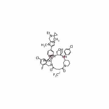 CCN(Cc1ncc(-c2ccc(Oc3cc(Cl)cc(F)c3CN3C(=O)C[C@@H](CC(F)(F)F)C(=O)N4CCC[C@@](Cc5ccc(Cl)cc5)(C4)NC(=O)[C@H](CO)NC(=O)[C@@H]3C)cc2)n1C)C1(C)CC1